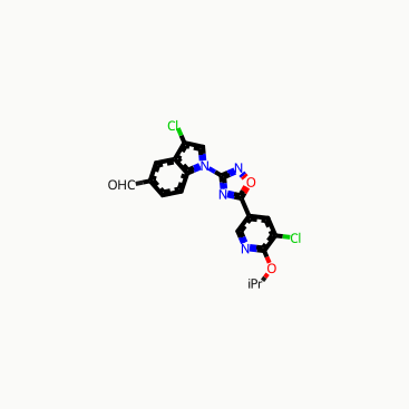 CC(C)Oc1ncc(-c2nc(-n3cc(Cl)c4cc(C=O)ccc43)no2)cc1Cl